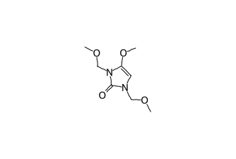 COCn1cc(OC)n(COC)c1=O